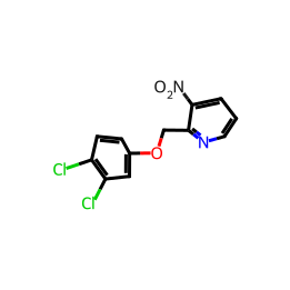 O=[N+]([O-])c1cccnc1COc1ccc(Cl)c(Cl)c1